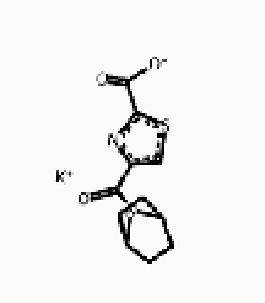 O=C([O-])c1nc(C(=O)N2C3CCC2CC3)cs1.[K+]